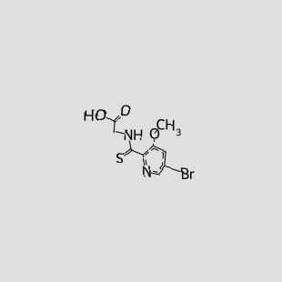 COc1cc(Br)cnc1C(=S)NCC(=O)O